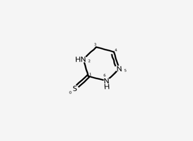 S=C1NCC=NN1